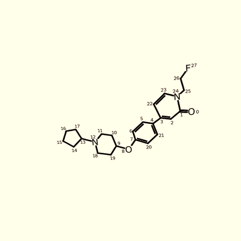 O=c1cc(-c2ccc(OC3CCN(C4CCCC4)CC3)cc2)ccn1CCF